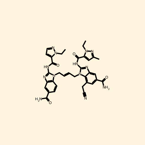 CCn1nccc1C(=O)Nc1nc2cc(C(N)=O)ccc2n1C/C=C/Cn1c(NC(=O)c2cc(C)nn2CC)nc2cc(C(N)=O)cc(CC#N)c21